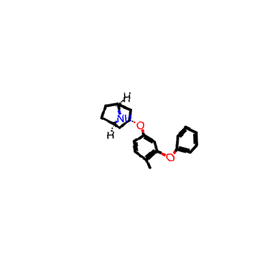 Cc1ccc(O[C@@H]2C[C@H]3CC[C@@H](C2)N3)cc1Oc1ccccc1